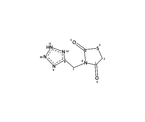 O=C1CSC(=O)N1Cc1nn[nH]n1